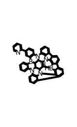 c1ccc(-c2ccc3c(c2)B2c4ccccc4N4c5cccc6c7ccc8c9c7n(c56)C5C4C2C2[C@@H]4[C@H]5B9c5c-8ccc6c7cccc(c7n4c56)N32)nc1